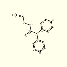 C=CCOC(=O)C(c1ccccc1)c1ccccc1